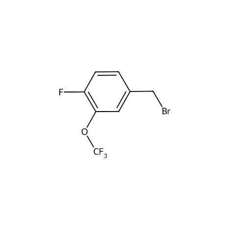 Fc1ccc(CBr)cc1OC(F)(F)F